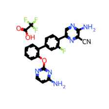 N#Cc1nc(-c2ccc(-c3ccccc3Oc3nccc(N)n3)cc2F)cnc1N.O=C(O)C(F)(F)F